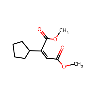 COC(=O)/C=C(\C(=O)OC)C1CCCC1